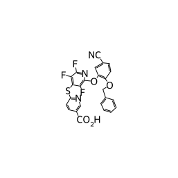 N#Cc1ccc(OCc2ccccc2)c(Oc2nc(F)c(F)c(Sc3ccc(C(=O)O)cn3)c2F)c1